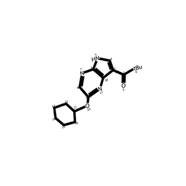 CC(C)(C)C(=O)c1c[nH]c2ncc(OC3CCCCC3)nc12